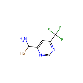 NC(S)c1cc(C(F)(F)F)ncn1